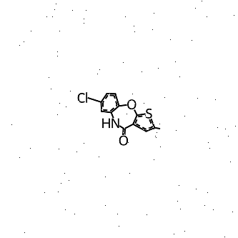 Cc1cc2c(s1)Oc1ccc(Cl)cc1NC2=O